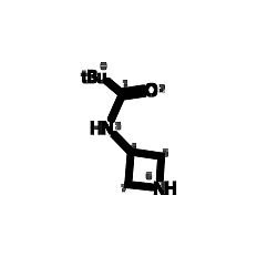 CC(C)(C)C(=O)NC1CNC1